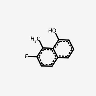 Cc1c(F)ccc2cccc(O)c12